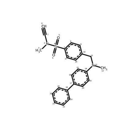 C#CN(C)S(=O)(=O)c1ccc(CN(C)c2ccc(-c3ccccc3)cc2)cc1